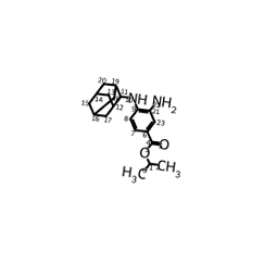 CC(C)OC(=O)c1ccc(NC2C3CC4CC(C3)CC2C4)c(N)c1